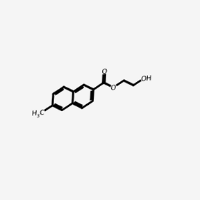 Cc1ccc2cc(C(=O)OCCO)ccc2c1